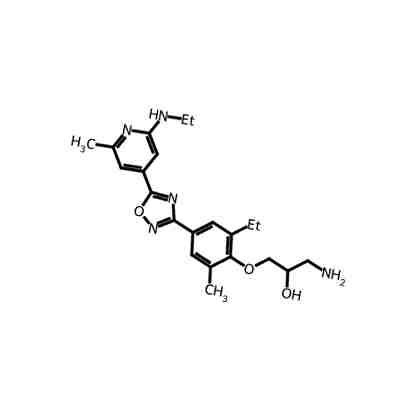 CCNc1cc(-c2nc(-c3cc(C)c(OCC(O)CN)c(CC)c3)no2)cc(C)n1